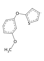 COc1cccc(Oc2c[c]cs2)c1